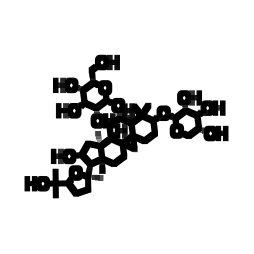 CC(C)(O)C1CC[C@](C)([C@H]2[C@@H](O)C[C@@]3(C)[C@@H]4C[C@H](O[C@@H]5O[C@H](CO)[C@@H](O)[C@H](O)[C@H]5O)[C@H]5C(C)(C)[C@@H](O[C@@H]6OC[C@@H](O)[C@H](O)[C@H]6O)CCC56CC46CC[C@]23C)O1